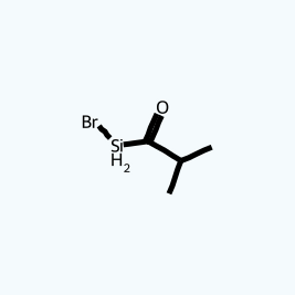 CC(C)C(=O)[SiH2]Br